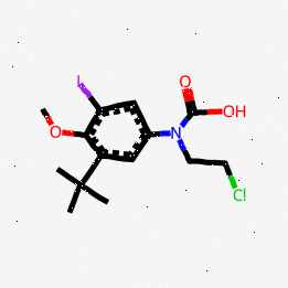 COc1c(I)cc(N(CCCl)C(=O)O)cc1C(C)(C)C